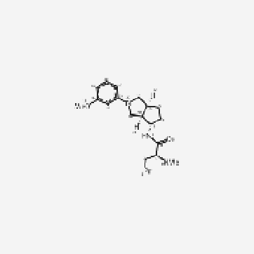 CN[C@@H](CC(C)C)C(=O)N[C@H]1CC[C@@H]2CN(c3cccc(OC)c3)C[C@@H]21